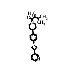 CC(C)C(C)C(=O)N1CCC(c2ccc(N3CC(c4cccnc4)C3)cc2)CC1